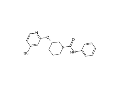 N#Cc1ccnc(O[C@H]2CCCN(C(=O)Nc3ccccc3)C2)c1